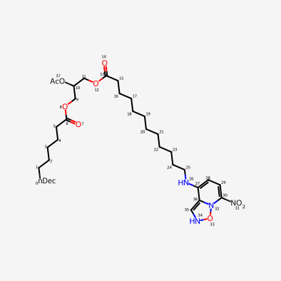 CCCCCCCCCCCCCCCC(=O)OCC(COC(=O)CCCCCCCCCCCNC1=CC=C([N+](=O)[O-])N2ONC=C12)OC(C)=O